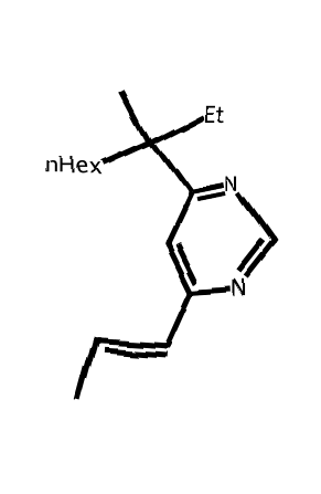 C/C=C/c1cc(C(C)(CC)CCCCCC)ncn1